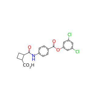 O=C(Oc1cc(Cl)cc(Cl)c1)c1ccc(NC(=O)C2CCC2C(=O)O)cc1